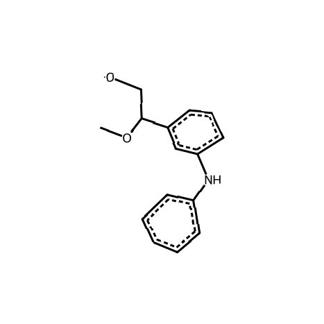 COC(C[O])c1cccc(Nc2ccccc2)c1